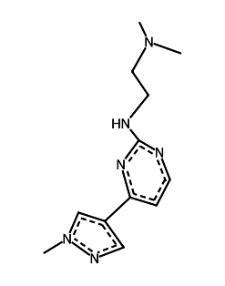 CN(C)CCNc1nccc(-c2cnn(C)c2)n1